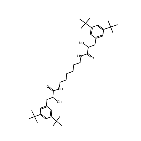 CC(C)(C)c1cc(CC(O)C(=O)NCCCCCCNC(=O)C(O)Cc2cc(C(C)(C)C)cc(C(C)(C)C)c2)cc(C(C)(C)C)c1